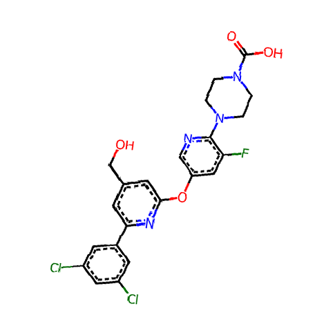 O=C(O)N1CCN(c2ncc(Oc3cc(CO)cc(-c4cc(Cl)cc(Cl)c4)n3)cc2F)CC1